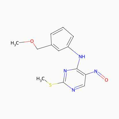 COCc1cccc(Nc2nc(SC)ncc2N=O)c1